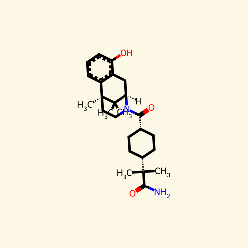 CC1(C)[C@H]2Cc3c(O)cccc3[C@]1(C)CCN2C(=O)[C@H]1CC[C@@H](C(C)(C)C(N)=O)CC1